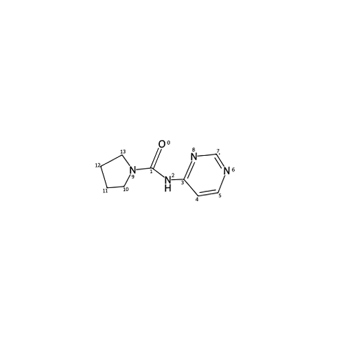 O=C(Nc1ccn[c]n1)N1CCCC1